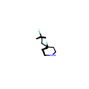 CC(C)(F)CC1(F)CCNCC1